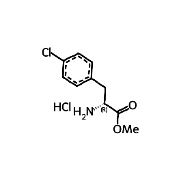 COC(=O)[C@H](N)Cc1ccc(Cl)cc1.Cl